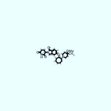 COC1(C)CCN([C@@H]2CCCCC[C@H]2OC2=CC=C3C(=O)N(C4CCC(=O)NC4=O)CC3C2)CC1